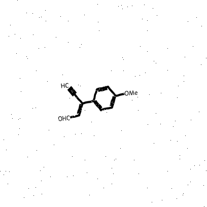 C#C/C(=C\C=O)c1ccc(OC)cc1